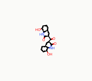 O=C(c1cc2cccc(O)c2[nH]c1=O)c1cc2cccc(O)c2[nH]c1=O